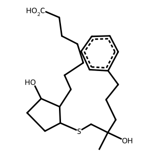 CC(O)(CCCc1ccccc1)CSC1CCC(O)C1CCCCCCC(=O)O